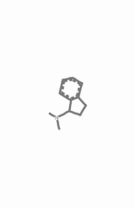 CN(C)C1[CH]Cc2ccccc21